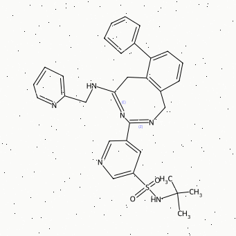 CC(C)(C)NS(=O)(=O)c1cncc(C2=N/Cc3cccc(-c4ccccc4)c3C/C(NCc3ccccn3)=N\2)c1